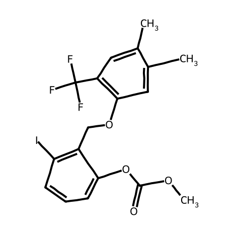 COC(=O)Oc1cccc(I)c1COc1cc(C)c(C)cc1C(F)(F)F